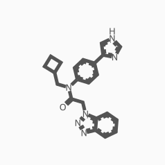 O=C(Cn1nnc2ccccc21)N(CC1CCC1)c1ccc(-c2c[nH]cn2)cc1